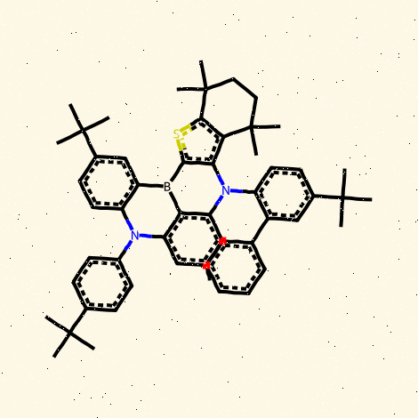 Cc1cc2c3c(c1)N(c1ccc(C(C)(C)C)cc1-c1ccccc1)c1c(sc4c1C(C)(C)CCC4(C)C)B3c1cc(C(C)(C)C)ccc1N2c1ccc(C(C)(C)C)cc1